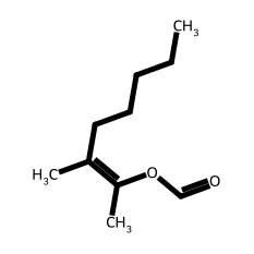 CCCCCC(C)=C(C)OC=O